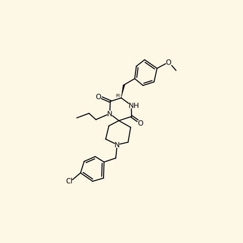 CCCN1C(=O)[C@@H](Cc2ccc(OC)cc2)NC(=O)C12CCN(Cc1ccc(Cl)cc1)CC2